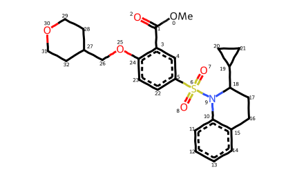 COC(=O)c1cc(S(=O)(=O)N2c3ccccc3CCC2C2CC2)ccc1OCC1CCOCC1